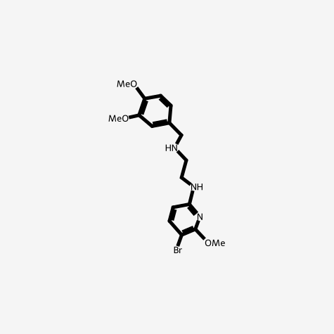 COc1ccc(CNCCNc2ccc(Br)c(OC)n2)cc1OC